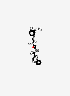 Cc1cc(OCC(=O)NC23CC(NC(=O)[C@@H]4COc5ccccc5O4)(C2)C3)ccc1Cl